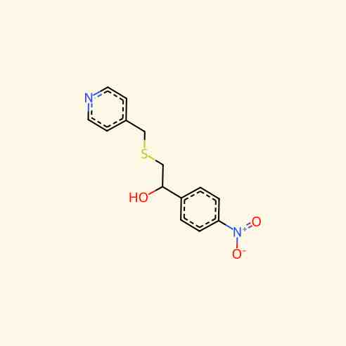 O=[N+]([O-])c1ccc(C(O)CSCc2ccncc2)cc1